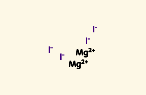 [I-].[I-].[I-].[I-].[Mg+2].[Mg+2]